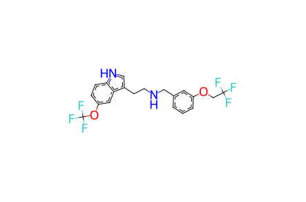 FC(F)(F)COc1cccc(CNCCc2c[nH]c3ccc(OC(F)(F)F)cc23)c1